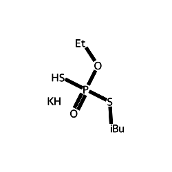 CCOP(=O)(S)SC(C)CC.[KH]